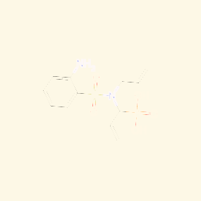 C=CCN(C(C=C)P(=O)(O)O)S(=O)(=O)c1ccccc1N